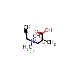 C#CC[N+](C)(C)C[C@H](C)C(=O)O.[Cl-]